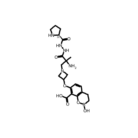 CC(N)(CN1CC(Oc2ccc3c(c2C(=O)O)OB(O)CC3)C1)C(=O)NNC(=O)[C@@H]1CCCN1